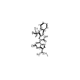 CC(C)c1cnn2c(N(Cc3nc4ccccn4c3C(F)(F)F)C(=O)O)cc(Cl)nc12